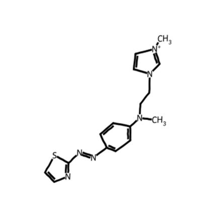 CN(CCn1cc[n+](C)c1)c1ccc(N=Nc2nccs2)cc1